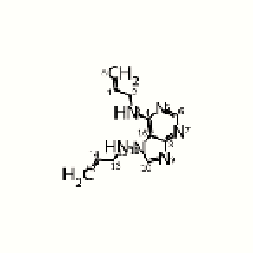 C=CCNc1ncnc2ncn(NCC=C)c12